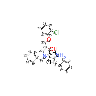 CC(C)(C(N)Cc1ccccc1)N(Cc1ccccc1)CC(O)COc1ccccc1Cl